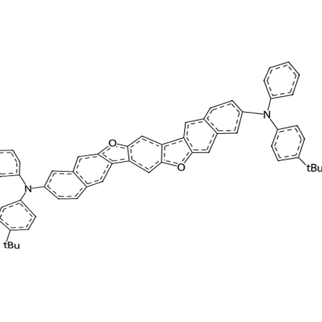 CC(C)(C)c1ccc(N(c2ccccc2)c2ccc3cc4c(cc3c2)oc2cc3c(cc24)oc2cc4cc(N(c5ccccc5)c5ccc(C(C)(C)C)cc5)ccc4cc23)cc1